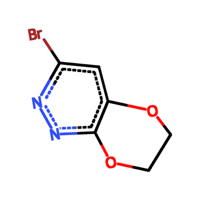 Brc1cc2c(nn1)OCCO2